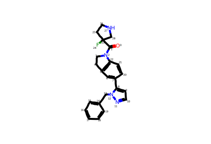 O=C(N1CCc2cc(-c3ccnn3Cc3ccccc3)ccc21)C1(F)CCNC1